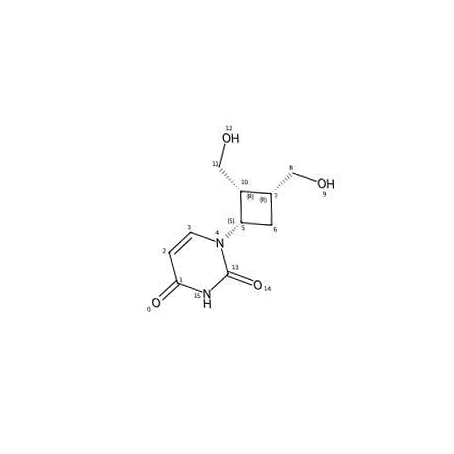 O=c1ccn([C@H]2C[C@@H](CO)[C@H]2CO)c(=O)[nH]1